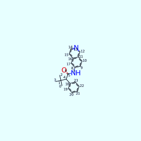 CC(C)(C)C(C(=O)Nc1ccc2cnccc2c1)c1ccccc1